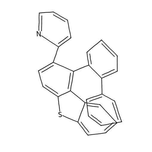 c1ccc(-c2ccccc2-c2c(-c3ccccn3)ccc3sc4ccccc4c23)cc1